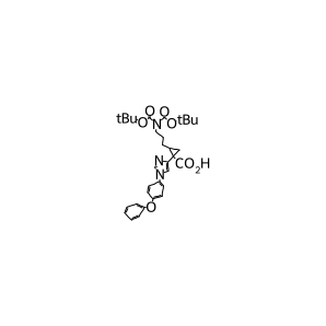 CC(C)(C)OC(=O)N(CCCC1CC1(C(=O)O)c1cn(-c2ccc(Oc3ccccc3)cc2)cn1)C(=O)OC(C)(C)C